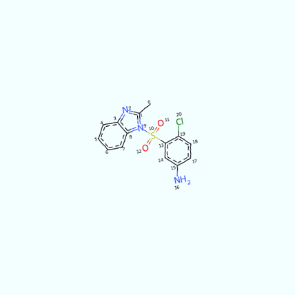 Cc1nc2ccccc2n1S(=O)(=O)c1cc(N)ccc1Cl